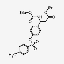 Cc1ccc(S(=O)(=O)Oc2ccc(C(CC(=O)OC(C)C)NC(=O)OC(C)(C)C)cc2)cc1